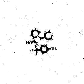 Nc1ccc(C(F)(F)F)cn1.O=C(O)[C@@H]1CCCCN1CC1CCOCC1